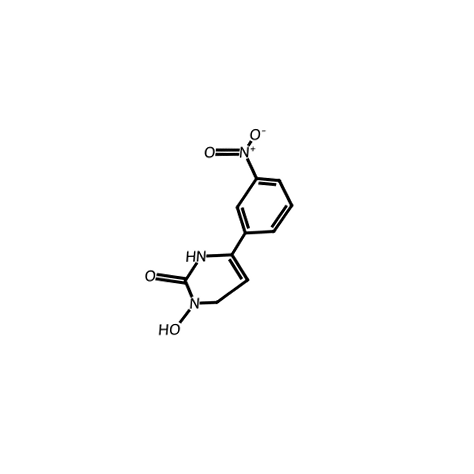 O=C1NC(c2cccc([N+](=O)[O-])c2)=CCN1O